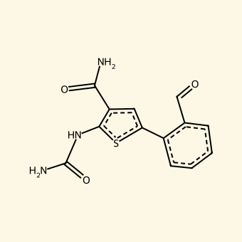 NC(=O)Nc1sc(-c2ccccc2C=O)cc1C(N)=O